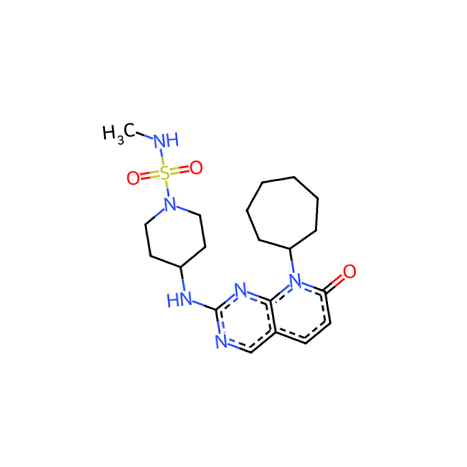 CNS(=O)(=O)N1CCC(Nc2ncc3ccc(=O)n(C4CCCCCC4)c3n2)CC1